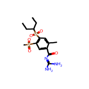 CCC(CC)S(=O)(=O)c1cc(C)c(C(=O)N=C(N)N)cc1S(C)(=O)=O